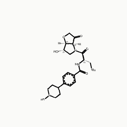 CCCN1CCC(c2ccc(C(=O)N[C@@H](CC(C)(C)C)C(=O)N3C[C@H](O)[C@H]4OCC(=O)[C@H]43)cc2)CC1